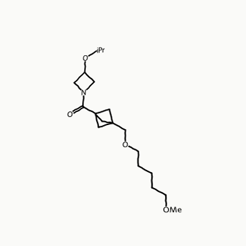 COCCCCCOCC12CC(C(=O)N3CC(OC(C)C)C3)(C1)C2